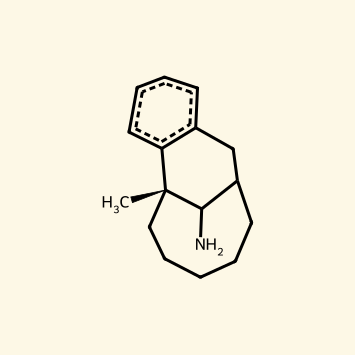 C[C@@]12CCCCCC(Cc3ccccc31)C2N